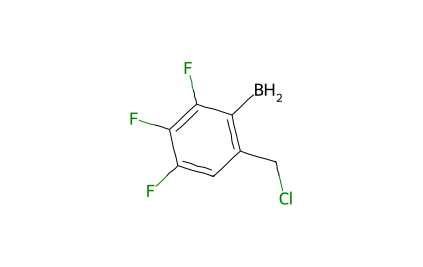 Bc1c(CCl)cc(F)c(F)c1F